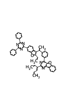 C=C/C=C(\C=C)c1nc(-c2cccc(C(=C)c3c(C=C)oc4cc(-c5nc(-c6ccccc6)nc(-c6ccccc6)n5)ccc34)c2)c2oc3ccccc3c2n1